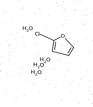 Clc1ccco1.O.O.O.O